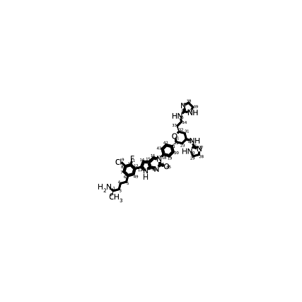 C[C@H](N)CCCc1cc(Cl)c(F)c(-c2cc3cn(-c4ccc([C@H]5CC(NC6=NCCN6)C[C@H](CCNC6=NCCN6)O5)cc4)c(=O)nc3[nH]2)c1